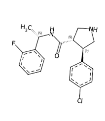 C[C@H](NC(=O)[C@@H]1CNC[C@H]1c1ccc(Cl)cc1)c1ccccc1F